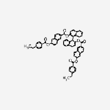 CCc1ccc(C(=O)Oc2ccc3cc(C(=O)Oc4ccc5ccccc5c4-c4c(OC(=O)c5ccc6cc(OC(=O)c7ccc(CC)cc7)ccc6c5)ccc5ccccc45)ccc3c2)cc1